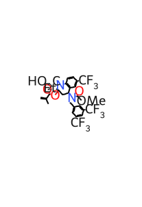 C=C(C)C(=O)OC1(CC)CC(N(Cc2cc(C(F)(F)F)cc(C(F)(F)F)c2)C(=O)OC)c2cc(C(F)(F)F)ccc2N1C(=O)O